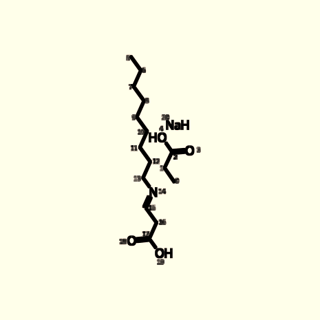 CCC(=O)O.CCCCCCCCCN=CCC(=O)O.[NaH]